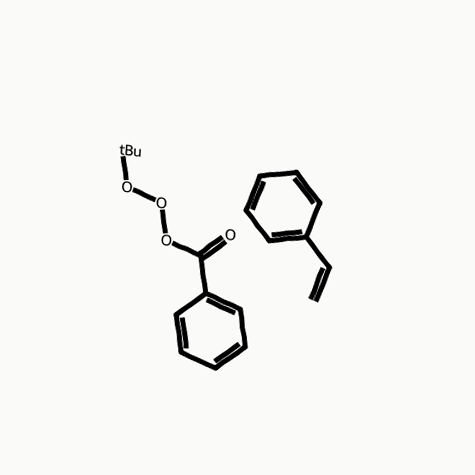 C=Cc1ccccc1.CC(C)(C)OOOC(=O)c1ccccc1